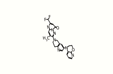 Cc1cc2nc(C(F)F)cc(=O)n2nc1N1CCc2ncc(N3CCOc4ncccc43)cc2C1